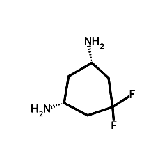 N[C@@H]1C[C@H](N)CC(F)(F)C1